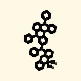 CC1(C)c2ccccc2Cc2c(N(c3ccccc3)c3ccc4c(c3)N(c3ccccc3)c3cccc5c3B4c3ccccc3N5c3ccccc3)cccc21